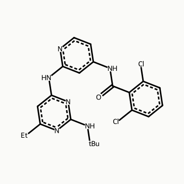 CCc1cc(Nc2cc(NC(=O)c3c(Cl)cccc3Cl)ccn2)nc(NC(C)(C)C)n1